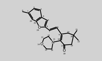 Cc1ccc2cc(/C=C/C3=C(N4CCOCC4)C(=O)CC(C)(C)C3)oc2c1